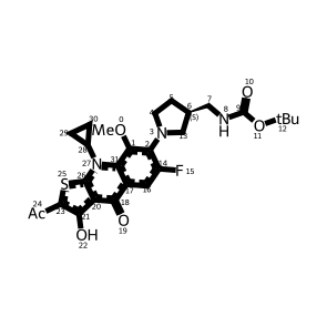 COc1c(N2CC[C@@H](CNC(=O)OC(C)(C)C)C2)c(F)cc2c(=O)c3c(O)c(C(C)=O)sc3n(C3CC3)c12